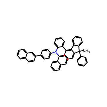 CC1(c2ccccc2)c2ccccc2-c2c(-c3ccccc3N(c3ccc(-c4ccc5ccccc5c4)cc3)c3cccc4ccccc34)cccc21